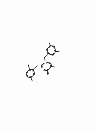 COc1ccc(C)c(Nc2nc(=O)c(OC)cn2Cc2cc(F)cc(Cl)c2)c1